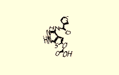 O=C(O)Oc1cc2c(NC(=O)c3ccsc3)n[nH]c2s1